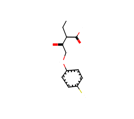 CCC(C(=O)O)C(=O)COc1ccc(S)cc1